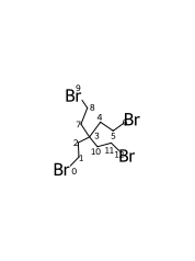 BrCCC(CCBr)(CCBr)CCBr